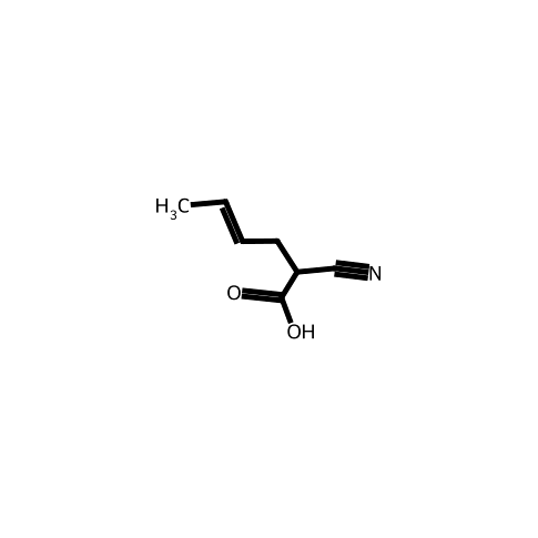 CC=CCC(C#N)C(=O)O